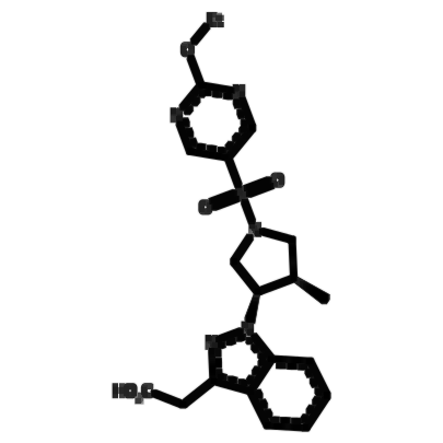 CCOc1ncc(S(=O)(=O)N2C[C@@H](C)[C@@H](n3nc(CC(=O)O)c4ccccc43)C2)cn1